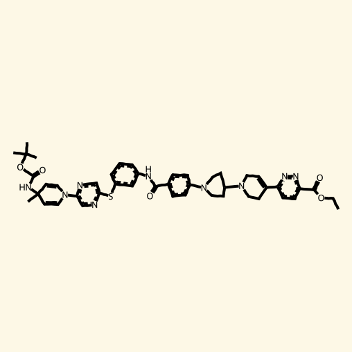 CCOC(=O)c1ccc(C2=CCN(C3CCN(c4ccc(C(=O)Nc5cccc(Sc6cnc(N7C=CC(C)(NC(=O)OC(C)(C)C)C=C7)cn6)c5)cc4)CC3)CC2)nn1